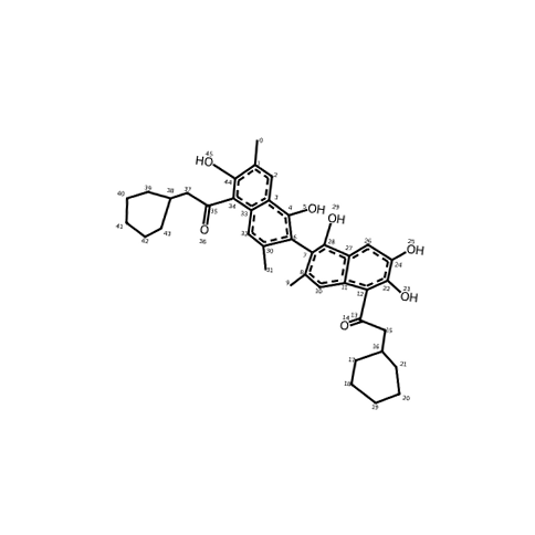 Cc1cc2c(O)c(-c3c(C)cc4c(C(=O)CC5CCCCC5)c(O)c(O)cc4c3O)c(C)cc2c(C(=O)CC2CCCCC2)c1O